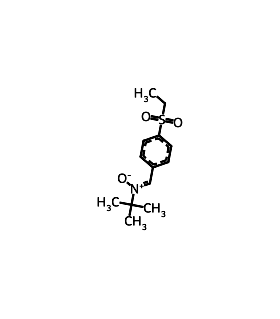 CCS(=O)(=O)c1ccc(C=[N+]([O-])C(C)(C)C)cc1